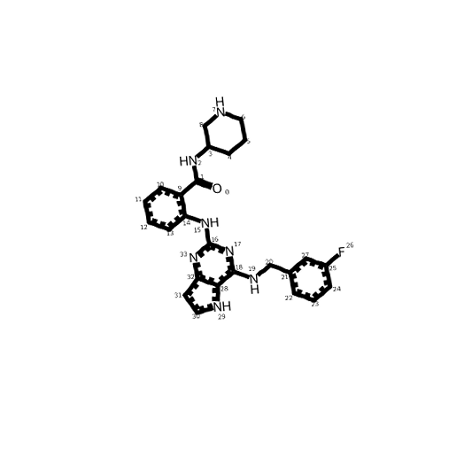 O=C(NC1CCCNC1)c1ccccc1Nc1nc(NCc2cccc(F)c2)c2[nH]ccc2n1